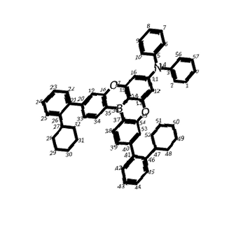 c1ccc(N(c2ccccc2)c2cc3c4c(c2)Oc2cc(-c5ccccc5C5CCCCC5)ccc2B4c2ccc(-c4ccccc4C4CCCCC4)cc2O3)cc1